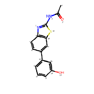 CC(=O)Nc1nc2ccc(-c3cccc(O)c3)cc2s1